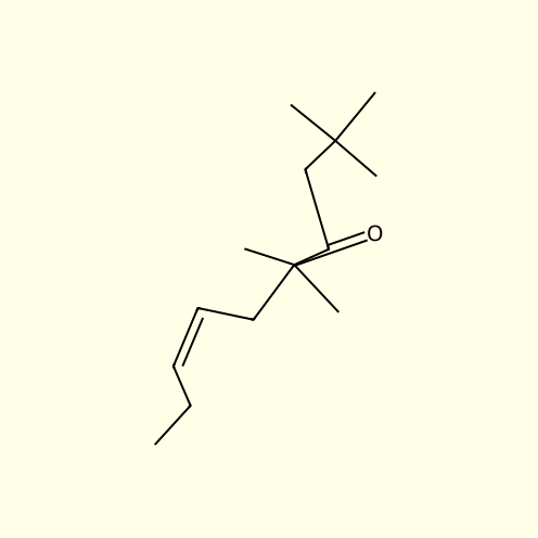 CC/C=C\CC(C)(C)C(=O)CC(C)(C)C